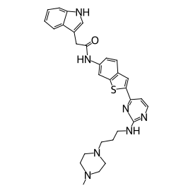 CN1CCN(CCCNc2nccc(-c3cc4ccc(NC(=O)Cc5c[nH]c6ccccc56)cc4s3)n2)CC1